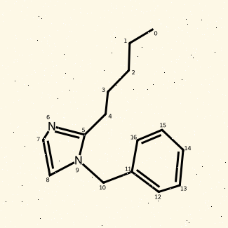 CCCCCc1nccn1Cc1ccccc1